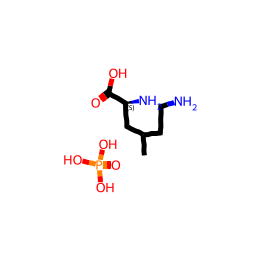 CC(CCN)C[C@H](N)C(=O)O.O=P(O)(O)O